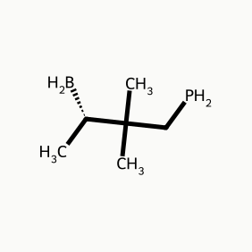 B[C@@H](C)C(C)(C)CP